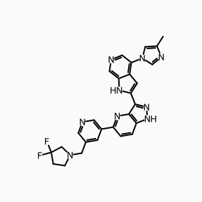 Cc1cn(-c2cncc3[nH]c(-c4n[nH]c5ccc(-c6cncc(CN7CCC(F)(F)C7)c6)nc45)cc23)cn1